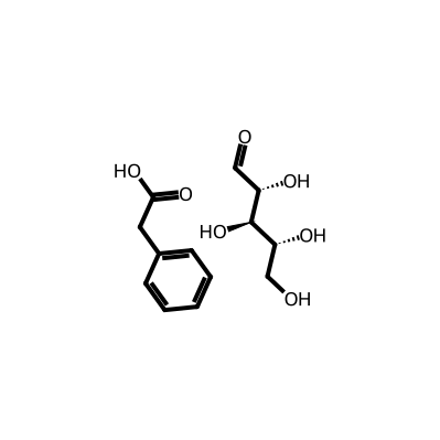 O=C(O)Cc1ccccc1.O=C[C@H](O)[C@H](O)[C@H](O)CO